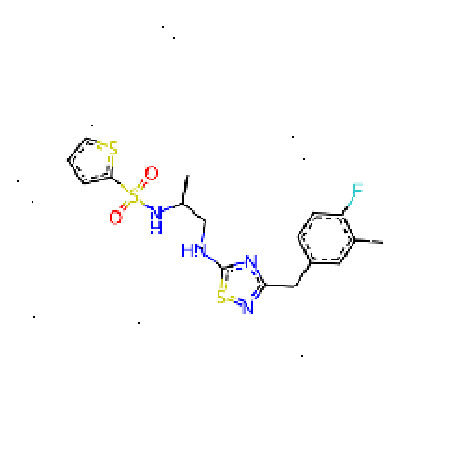 Cc1cc(Cc2nsc(NCC(C)NS(=O)(=O)c3cccs3)n2)ccc1F